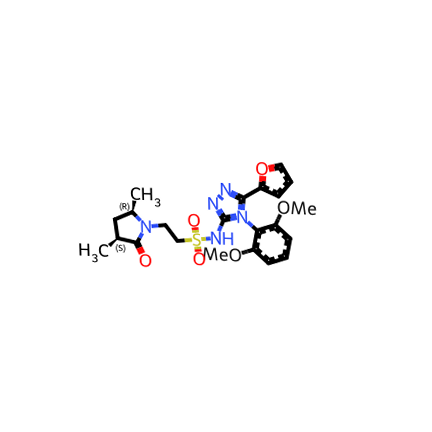 COc1cccc(OC)c1-n1c(NS(=O)(=O)CCN2C(=O)[C@@H](C)C[C@H]2C)nnc1-c1ccco1